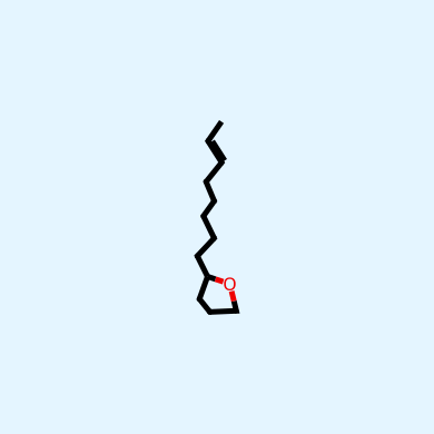 C/C=C/CCCCCC1CCCO1